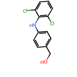 OCc1ccc(Nc2c(Cl)cccc2Cl)cc1